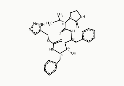 CC(C)[C@@H](C(=O)N[C@@H](Cc1ccccc1)C[C@H](O)[C@H](Cc1ccccc1)NC(=O)OCc1cnn[nH]1)N1CCNC1=O